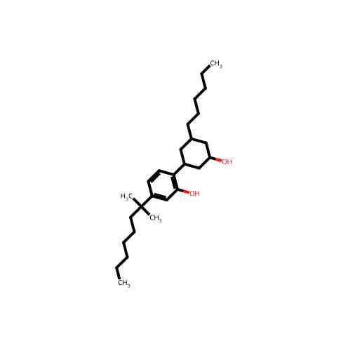 CCCCCCC1CC(O)CC(c2ccc(C(C)(C)CCCCCC)cc2O)C1